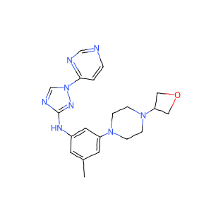 Cc1cc(Nc2ncn(-c3ccncn3)n2)cc(N2CCN(C3COC3)CC2)c1